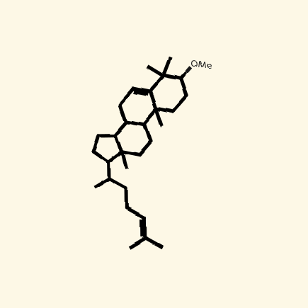 COC1CCC2(C)C(=CCC3C2CCC2(C)C(C(C)CCC=C(C)C)CCC32)C1(C)C